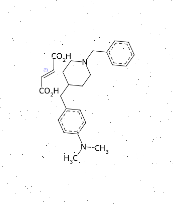 CN(C)c1ccc(CC2CCN(Cc3ccccc3)CC2)cc1.O=C(O)/C=C/C(=O)O